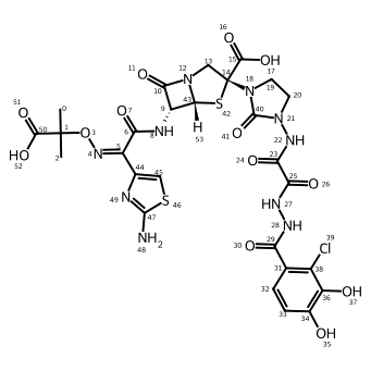 CC(C)(O/N=C(\C(=O)N[C@@H]1C(=O)N2C[C@@](C(=O)O)(N3CCN(NC(=O)C(=O)NNC(=O)c4ccc(O)c(O)c4Cl)C3=O)S[C@H]12)c1csc(N)n1)C(=O)O